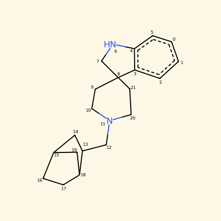 c1ccc2c(c1)NCC21CCN(CC2CC3CCC2C3)CC1